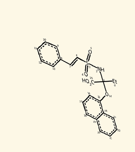 CCC(NS(=O)(=O)C=Cc1ccccc1)(Oc1cccc2ccccc12)C(=O)O